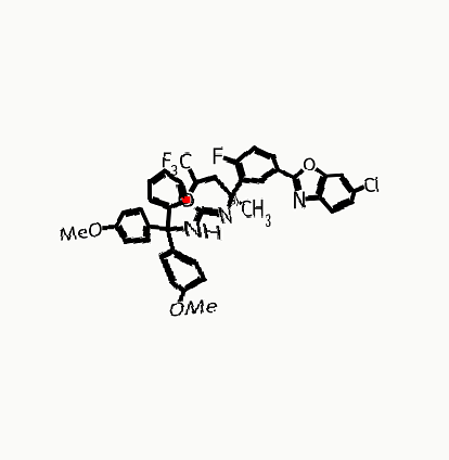 COc1ccc(C(NC2=N[C@](C)(c3cc(-c4nc5ccc(Cl)cc5o4)ccc3F)CC(C(F)(F)F)O2)(c2ccccc2)c2ccc(OC)cc2)cc1